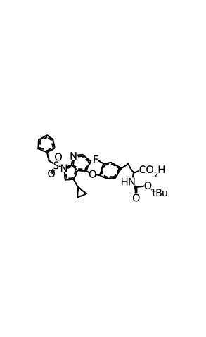 CC(C)(C)OC(=O)NC(Cc1ccc(Oc2ccnc3c2c(C2CC2)cn3S(=O)(=O)Cc2ccccc2)c(F)c1)C(=O)O